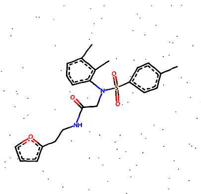 Cc1ccc(S(=O)(=O)N(CC(=O)NCCc2ccco2)c2cccc(C)c2C)cc1